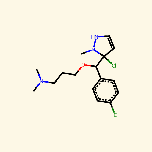 CN(C)CCCOC(c1ccc(Cl)cc1)C1(Cl)C=CNN1C